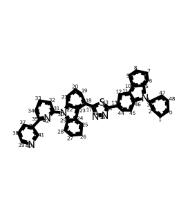 c1ccc(-n2c3ccccc3c3cc(-c4nnc(-c5cccc6c5c5ccccc5n6-c5cccc(-c6cccnc6)n5)s4)ccc32)cc1